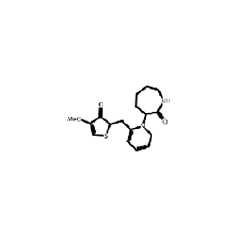 COC1=CSC(CC2=CC=CCN2C2CCCCNC2=O)C1=O